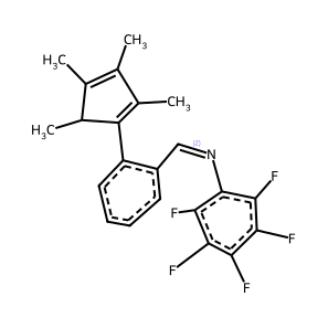 CC1=C(C)C(C)C(c2ccccc2/C=N\c2c(F)c(F)c(F)c(F)c2F)=C1C